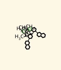 CCCCC1=Cc2c(-c3ccc4ccccc4c3)cccc2[CH]1[Zr]([Cl])([Cl])([CH]1C(CCCC)=Cc2c(-c3ccc4ccccc4c3)cccc21)[SiH](C)C